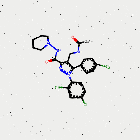 COC(=O)NCc1c(C(=O)NN2CCCCC2)nn(-c2ccc(Cl)cc2Cl)c1-c1ccc(Cl)cc1